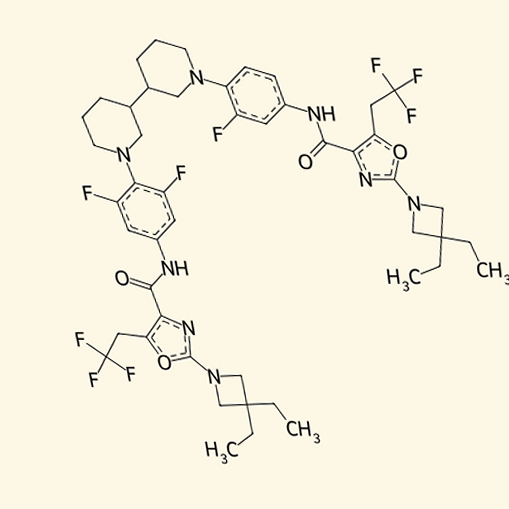 CCC1(CC)CN(c2nc(C(=O)Nc3ccc(N4CCCC(C5CCCN(c6c(F)cc(NC(=O)c7nc(N8CC(CC)(CC)C8)oc7CC(F)(F)F)cc6F)C5)C4)c(F)c3)c(CC(F)(F)F)o2)C1